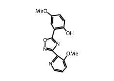 COc1ccc(O)c(-c2nc(-c3ncccc3OC)no2)c1